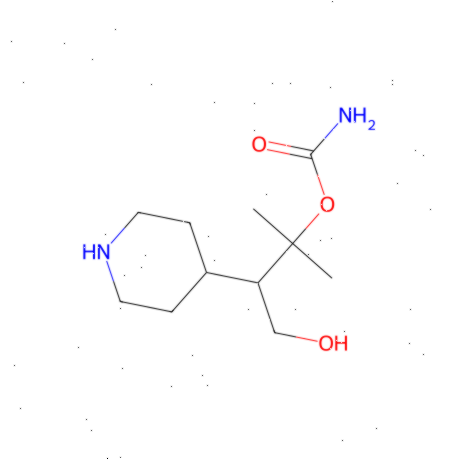 CC(C)(OC(N)=O)C(CO)C1CCNCC1